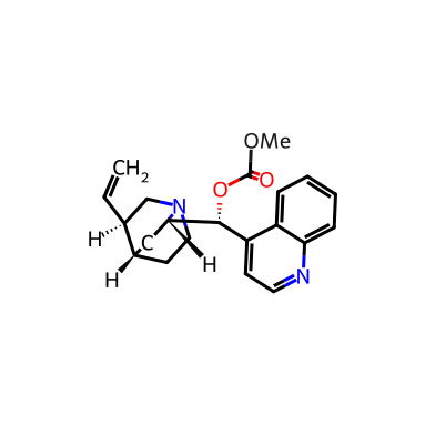 C=C[C@H]1CN2CC[C@H]1C[C@H]2[C@H](OC(=O)OC)c1ccnc2ccccc12